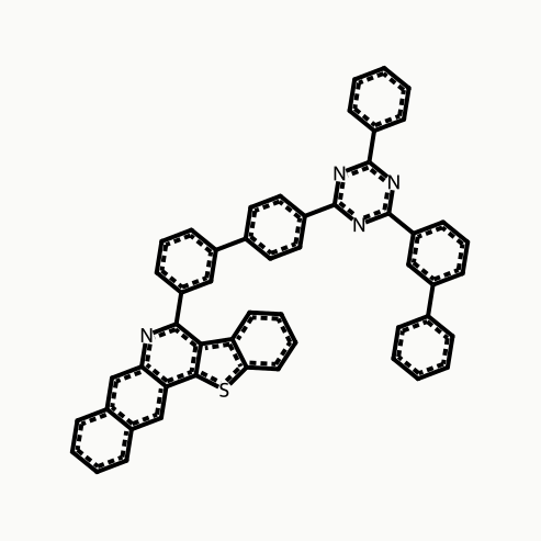 c1ccc(-c2cccc(-c3nc(-c4ccccc4)nc(-c4ccc(-c5cccc(-c6nc7cc8ccccc8cc7c7sc8ccccc8c67)c5)cc4)n3)c2)cc1